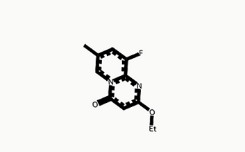 CCOc1cc(=O)n2cc(C)cc(F)c2n1